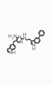 Nc1nc(NCCc2c[nH]c3ccc(-c4ccccc4)cc23)ncc1Cc1ccc2[nH]ccc2c1